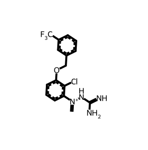 C=[N+](NC(=N)N)c1cccc(OCc2cccc(C(F)(F)F)c2)c1Cl